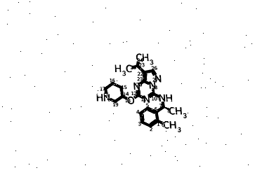 Cc1ccccc1[C@H](C)Nc1nc(OC2CCCNC2)nc2c(C(C)C)cnn12